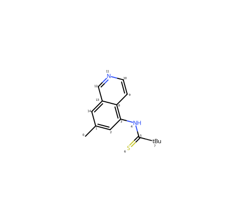 Cc1cc(NC(=S)C(C)(C)C)c2ccncc2c1